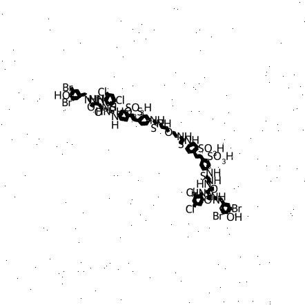 O=C(N/N=C/c1cc(Br)c(O)c(Br)c1)C(Nc1ccc(Cl)cc1Cl)C(=O)NNC(=S)Nc1ccc(/C=C/c2ccc(NC(=S)NCCOCCNC(=S)Nc3ccc(/C=C/c4ccc(NC(=S)NNC(=O)C(Nc5ccc(Cl)cc5Cl)C(=O)N/N=C/c5cc(Br)c(O)c(Br)c5)cc4S(=O)(=O)O)c(S(=O)(=O)O)c3)cc2S(=O)(=O)O)c(S(=O)(=O)O)c1